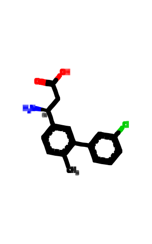 Cc1ccc([C@@H](N)CC(=O)O)cc1-c1cccc(Cl)c1